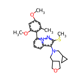 COc1cc(C)c(-c2cccc3c(N(CC4CC4)CC4CCOC4)c(SC)nn23)c(OC)c1